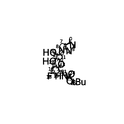 Cc1ncnc2c1CCN2[C@@H]1C[C@H](Oc2ccc(F)cc2CNC(=O)OC(C)(C)C)[C@@H](O)[C@H]1O